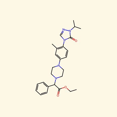 CCOC(=O)C(c1ccccc1)N1CCN(c2ccc(-n3cnn(C(C)C)c3=O)c(C)c2)CC1